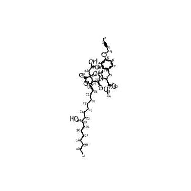 CC#CCOc1ccc(C[C@H](NC(=O)C(/C=C/CCCCCC[C@@H](O)CCCCCCC)[C@@](O)(CC(=O)O)C(=O)O)C(=O)OC)cc1